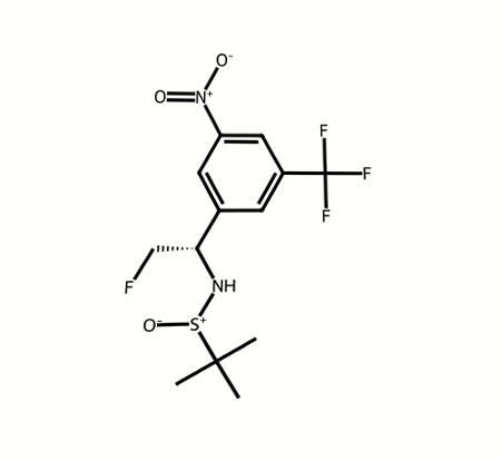 CC(C)(C)[S+]([O-])N[C@H](CF)c1cc([N+](=O)[O-])cc(C(F)(F)F)c1